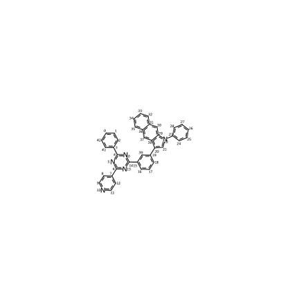 c1ccc(-c2nc(-c3ccncc3)nc(-c3cccc(-c4cn(-c5ccccc5)c5cc6ccccc6cc45)c3)n2)cc1